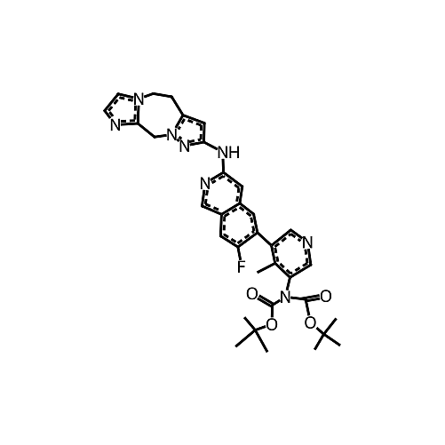 Cc1c(-c2cc3cc(Nc4cc5n(n4)Cc4nccn4CC5)ncc3cc2F)cncc1N(C(=O)OC(C)(C)C)C(=O)OC(C)(C)C